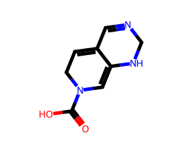 O=C(O)N1C=C2NCN=CC2=CC1